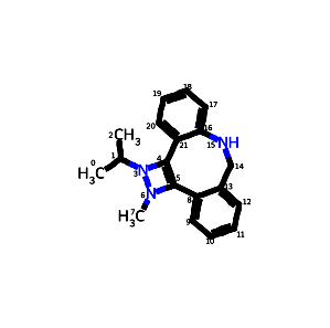 CC(C)n1c2c(n1C)-c1ccccc1CNc1ccccc1-2